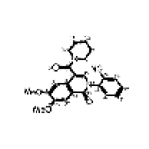 COc1cc2c(C(=O)N3CCCCC3)cn(-c3ccccc3C#N)c(=O)c2cc1OC